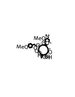 COc1ccc(CC(=O)O[C@H]2[C@H](C)[C@@H](O[C@@H]3O[C@H](C)C[C@H](N(C)C)[C@H]3OC)C(C)(C)C[C@@H](C)C(=O)[C@H](C)[C@@H](O)[C@@]3(O)C(C)[C@H]3OC(=O)[C@@H]2C)cc1